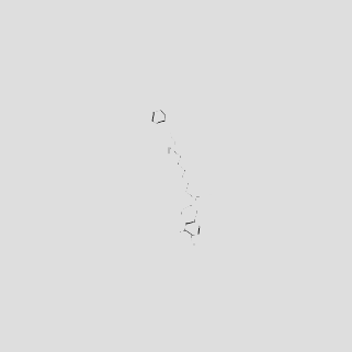 CCCN(CCCCCCNCCOc1ccc(O)cc1)[C@H]1CCc2c(ccc(O)c2O)C1